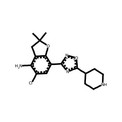 CC1(C)Cc2c(N)c(Cl)cc(-c3noc(C4CCNCC4)n3)c2O1